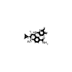 CC(=O)N1c2ccc(C(N)=O)cc2[C@H](Nc2ccc(F)c(C)n2)[C@@H](C)[C@@H]1C1CC1